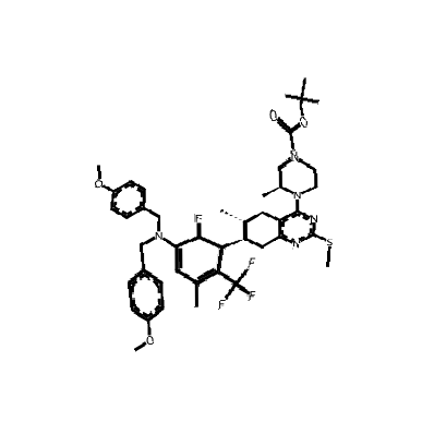 COc1ccc(CN(Cc2ccc(OC)cc2)C2=CC(C)=C(C(F)(F)F)C([C@@H]3Cc4nc(SC)nc(N5CCN(C(=O)OC(C)(C)C)C[C@@H]5C)c4C[C@H]3C)C2F)cc1